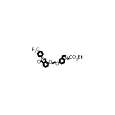 CCOC(=O)Cn1ccc2cc(OCCOc3cccc4c3CN(c3ccc(C(F)(F)F)cc3)C4=O)ccc21